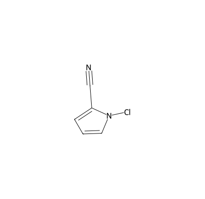 N#Cc1cccn1Cl